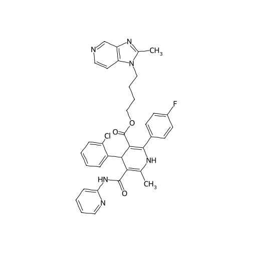 CC1=C(C(=O)Nc2ccccn2)C(c2ccccc2Cl)C(C(=O)OCCCCn2c(C)nc3cnccc32)=C(c2ccc(F)cc2)N1